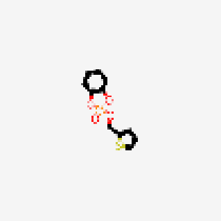 O=P1(OCc2cccs2)Oc2ccccc2O1